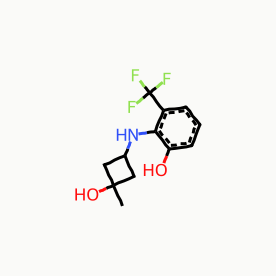 CC1(O)CC(Nc2c(O)cccc2C(F)(F)F)C1